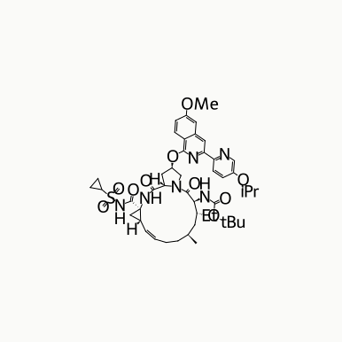 CC[C@@H]1C[C@@H](C)CC/C=C\[C@@H]2C[C@@]2(C(=O)NS(=O)(=O)C2CC2)NC(=O)[C@@H]2C[C@@H](Oc3nc(-c4ccc(OC(C)C)cn4)cc4cc(OC)ccc34)CN2C(=O)[C@H]1NC(=O)OC(C)(C)C